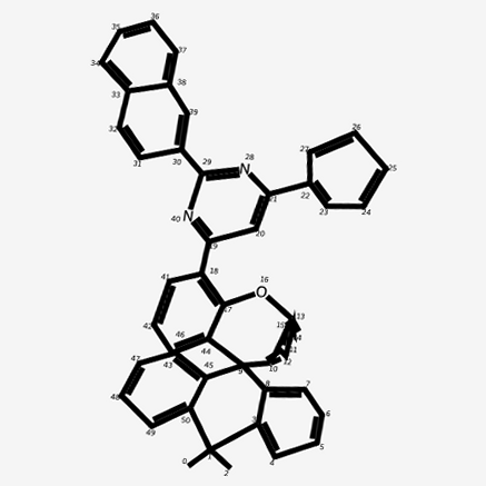 CC1(C)c2ccccc2C2(c3ccccc3Oc3c(-c4cc(-c5ccccc5)nc(-c5ccc6ccccc6c5)n4)cccc32)c2ccccc21